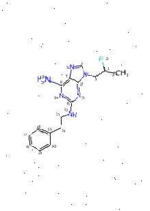 CC(F)Cn1cnc2c(N)nc(NCCc3ccccc3)nc21